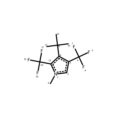 Cn1cc(C(F)(F)F)c(C(C)(C)C)c1C(F)(F)F